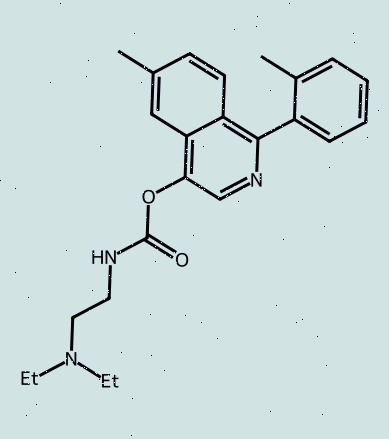 CCN(CC)CCNC(=O)Oc1cnc(-c2ccccc2C)c2ccc(C)cc12